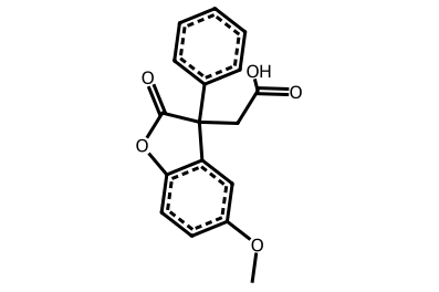 COc1ccc2c(c1)C(CC(=O)O)(c1ccccc1)C(=O)O2